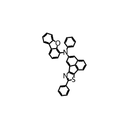 c1ccc(-c2nc3c(s2)-c2cccc4cc(N(c5ccccc5)c5cccc6c5oc5ccccc56)cc-3c24)cc1